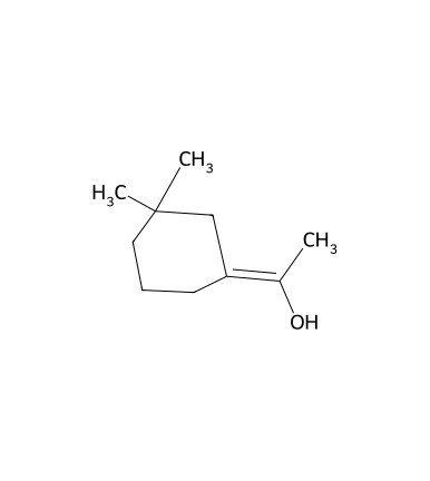 C/C(O)=C1/CCCC(C)(C)C1